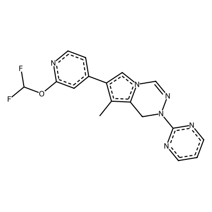 Cc1c(-c2ccnc(OC(F)F)c2)cn2c1CN(c1ncccn1)N=C2